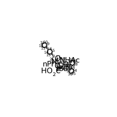 CCCN(CCc1ccc(-c2ccccc2)cc1)C(=O)[C@@H]1OC(C(=O)O)=C[C@H](O[Si](c2ccccc2)(c2ccccc2)C(C)(C)C)[C@H]1NC(C)=O